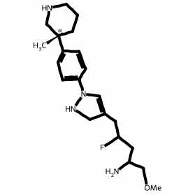 COCC(N)CC(F)CC1=CN(c2ccc([C@@]3(C)CCCNC3)cc2)NC1